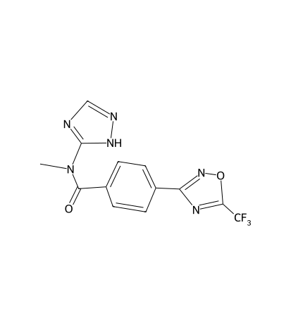 CN(C(=O)c1ccc(-c2noc(C(F)(F)F)n2)cc1)c1ncn[nH]1